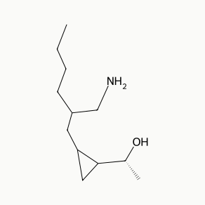 CCCCC(CN)CC1CC1[C@@H](C)O